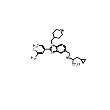 C/C=C(\C=C(\C)C(C)=O)c1nc2cc(CNC(CC3CC3)C(=O)OCC)ccc2n1CC1CCNCC1